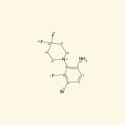 Nc1ccc(Br)c(F)c1N1CCC(F)(F)CC1